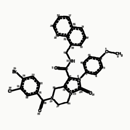 COc1ccc(-n2c(C(=O)NCc3cccc4cccnc34)c3n(c2=O)CCN(C(=O)c2ccc(Br)c(Cl)c2)C3)cc1